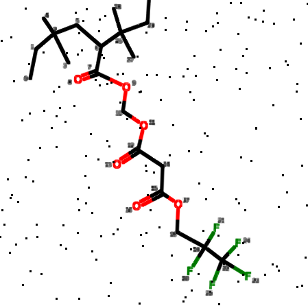 CCC(C)(C)CC(C(=O)OCOC(=O)CC(=O)OCC(F)(F)C(F)(F)F)C(C)(C)CC